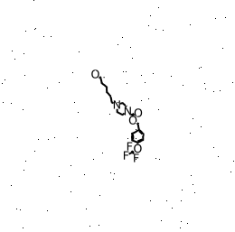 O=[C]CCCCCN1CCN(C(=O)OCc2ccc(OC(F)(F)F)cc2)CC1